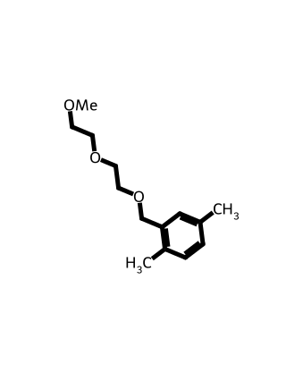 COCCOCCOCc1cc(C)ccc1C